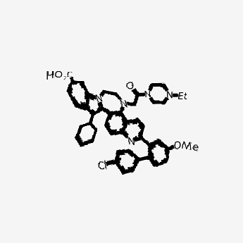 CCN1CCN(C(=O)CN2CCn3c(c(C4CCCCC4)c4ccc(C(=O)O)cc43)-c3ccc4nc(-c5cc(OC)ccc5-c5ccc(Cl)cc5)ccc4c32)CC1